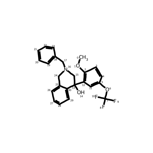 COc1ccc(OC(F)(F)F)cc1C1(O)CN(Cc2ccccc2)Cc2ccccc21